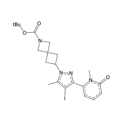 Cc1c(I)c(-c2cccc(=O)n2C)nn1C1CC2(C1)CN(C(=O)OC(C)(C)C)C2